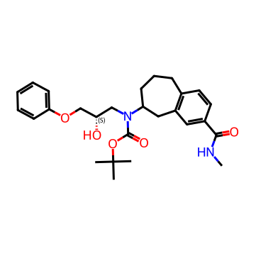 CNC(=O)c1ccc2c(c1)CC(N(C[C@H](O)COc1ccccc1)C(=O)OC(C)(C)C)CCC2